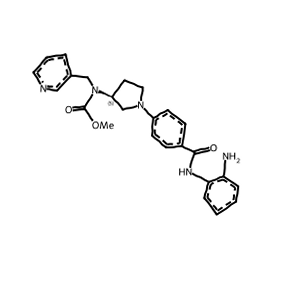 COC(=O)N(Cc1cccnc1)[C@H]1CCN(c2ccc(C(=O)Nc3ccccc3N)cc2)C1